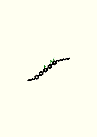 C/C=C/CCC1CCC(C2CC=C(c3ccc(-c4ccc(-c5ccc(CCCCCCCCC)c(F)c5F)cc4)c(F)c3)CC2)CC1